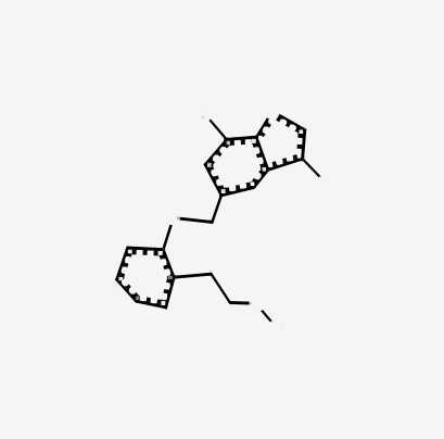 CCOCCc1ccccc1OCc1cc(Br)c2occ(F)c2c1